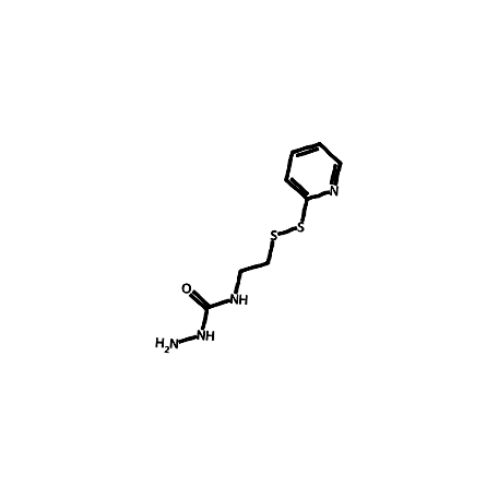 NNC(=O)NCCSSc1ccccn1